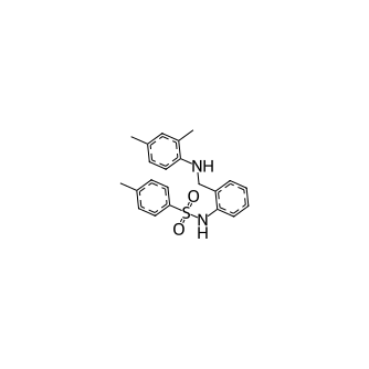 Cc1ccc(S(=O)(=O)Nc2ccccc2CNc2ccc(C)cc2C)cc1